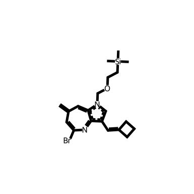 C=C1C=C(Br)N=c2c(C=C3CCC3)cn(COCC[Si](C)(C)C)c2=C1